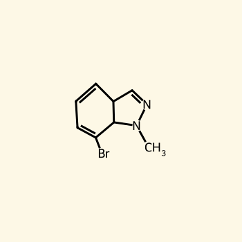 CN1N=CC2C=CC=C(Br)C21